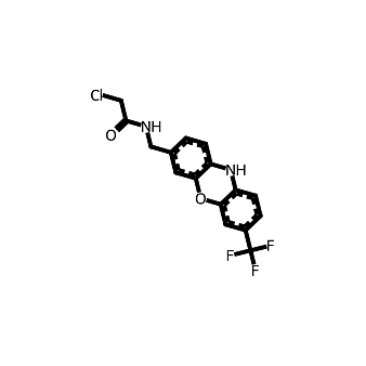 O=C(CCl)NCc1ccc2c(c1)Oc1cc(C(F)(F)F)ccc1N2